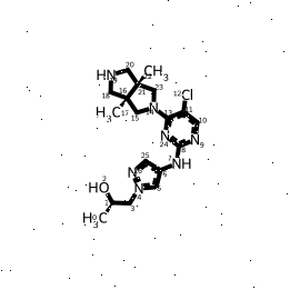 C[C@@H](O)Cn1cc(Nc2ncc(Cl)c(N3C[C@]4(C)CNC[C@]4(C)C3)n2)cn1